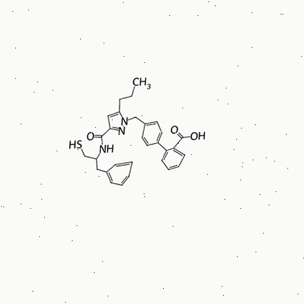 CCCc1cc(C(=O)NC(CS)Cc2ccccc2)nn1Cc1ccc(-c2ccccc2C(=O)O)cc1